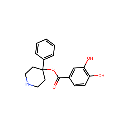 O=C(OC1(c2ccccc2)CCNCC1)c1ccc(O)c(O)c1